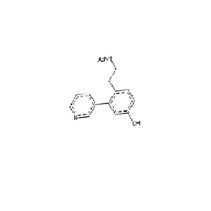 CC(=O)NCCc1ccc(O)cc1-c1cccnc1